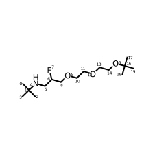 CC(C)(C)NCC(F)COCCOCCOC(C)(C)C